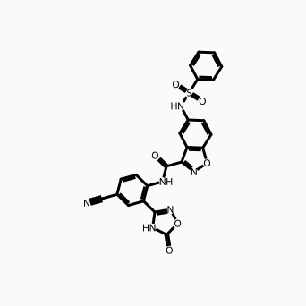 N#Cc1ccc(NC(=O)c2noc3ccc(NS(=O)(=O)c4ccccc4)cc23)c(-c2noc(=O)[nH]2)c1